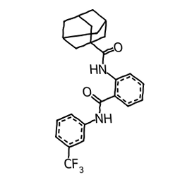 O=C(Nc1cccc(C(F)(F)F)c1)c1ccccc1NC(=O)C12CC3CC(CC(C3)C1)C2